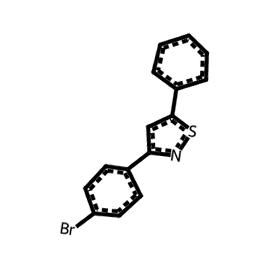 Brc1ccc(-c2cc(-c3ccccc3)sn2)cc1